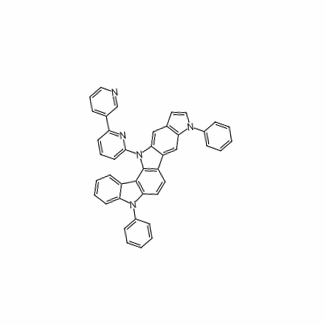 c1ccc(-n2ccc3cc4c(cc32)c2ccc3c(c5ccccc5n3-c3ccccc3)c2n4-c2cccc(-c3cccnc3)n2)cc1